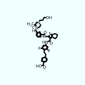 CC1(C)CN(CCCO)CCN1Cc1cccc(C(=O)Nc2sc3c(c2C(=O)Nc2cc(F)c(CCc4ccc(C(=O)O)cc4)c(F)c2)CCCC3)c1